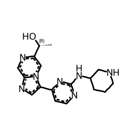 C[C@@H](O)c1cn2c(-c3ccnc(NC4CCCNC4)n3)cnc2cn1